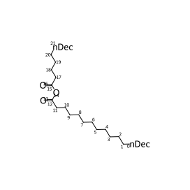 CCCCCCCCCCCCCCCCCCCCCC(=O)OC(=O)CCCCCCCCCCCCCC